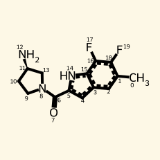 Cc1cc2cc(C(=O)N3CC[C@@H](N)C3)[nH]c2c(F)c1F